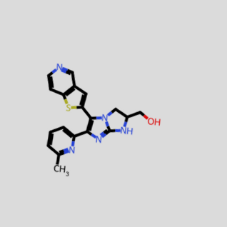 Cc1cccc(-c2nc3n(c2-c2cc4cnccc4s2)CC(CO)N3)n1